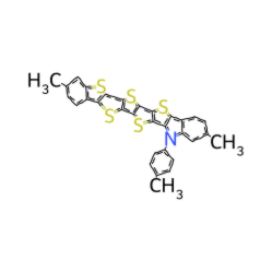 Cc1ccc(-n2c3cc(C)ccc3c3sc4c5sc6c7sc8cc(C)ccc8c7sc6c5sc4c32)cc1